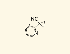 N#CC1(c2[c]cccn2)CC1